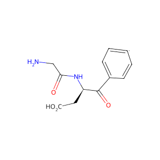 NCC(=O)N[C@H](CC(=O)O)C(=O)c1cc[c]cc1